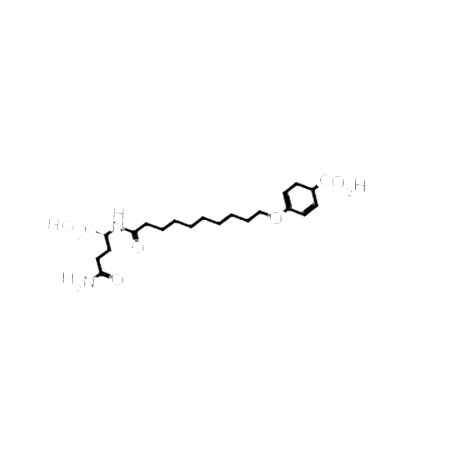 NC(=O)CC[C@H](NC(=O)CCCCCCCCCOC1=CCC(C(=O)O)C=C1)C(=O)O